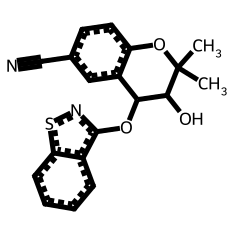 CC1(C)Oc2ccc(C#N)cc2C(Oc2nsc3ccccc23)C1O